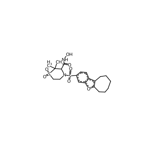 CC1(C)C(C(=O)NO)N(S(=O)(=O)c2ccc3c4c(oc3c2)CCCCCC4)CCS1(=O)=O